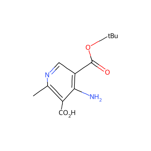 Cc1ncc(C(=O)OC(C)(C)C)c(N)c1C(=O)O